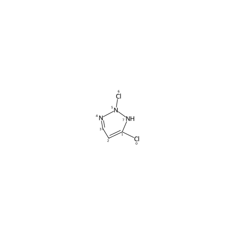 ClC1=C[C]=NN(Cl)N1